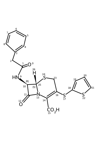 O=C(Cc1ccccc1)N[C@@H]1C(=O)N2C(C(=O)O)=C(Sc3cccs3)CS[C@@H]12